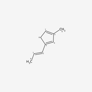 CC=CC1=CC(C)=CC1